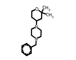 CC1(C)CC(N2CCN(Cc3ccccc3)CC2)CCO1